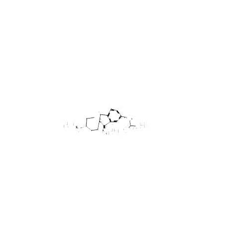 CO[C@H]1CC[C@]2(CC1)Cc1ccc(OC(C)C)cc1C2=N